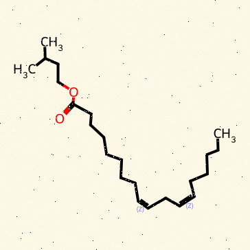 CCCCC/C=C\C/C=C\CCCCCCCC(=O)OCCC(C)C